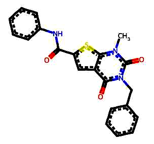 Cn1c(=O)n(Cc2ccccc2)c(=O)c2cc(C(=O)Nc3ccccc3)sc21